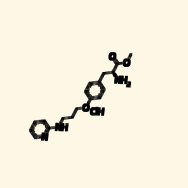 COC(=O)[C@@H](N)Cc1ccc(OCCCNc2ccccn2)cc1.Cl